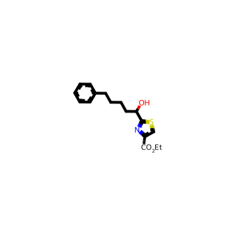 CCOC(=O)c1csc(C(O)CCCCc2ccccc2)n1